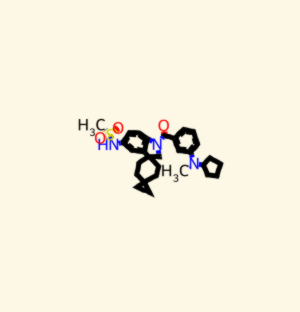 CN(c1cccc(C(=O)N2CC3(CCC4(CC4)CC3)c3cc(NS(C)(=O)=O)ccc32)c1)C1CCCC1